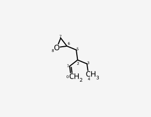 C=CC(CC)CC1CO1